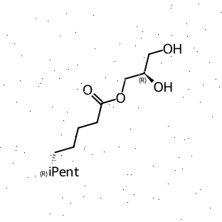 CCC[C@@H](C)CCCCC(=O)OC[C@H](O)CO